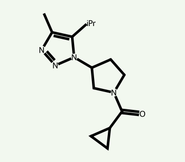 Cc1nnn(C2CCN(C(=O)C3CC3)C2)c1C(C)C